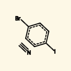 Brc1ccc(I)cc1.C#N